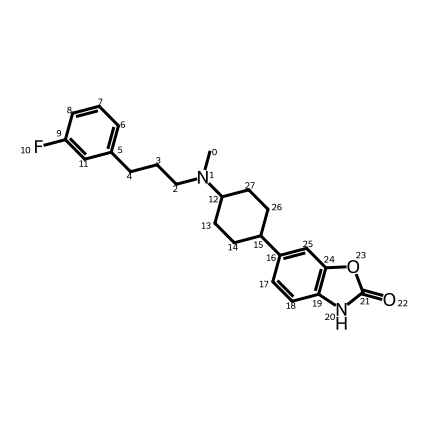 CN(CCCc1cccc(F)c1)C1CCC(c2ccc3[nH]c(=O)oc3c2)CC1